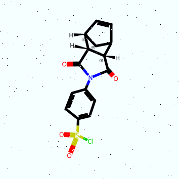 O=C1[C@@H]2[C@@H]3C=CC(C3)[C@@H]2C(=O)N1c1ccc(S(=O)(=O)Cl)cc1